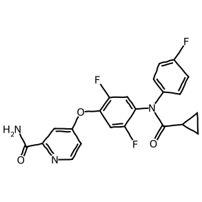 NC(=O)c1cc(Oc2cc(F)c(N(C(=O)C3CC3)c3ccc(F)cc3)cc2F)ccn1